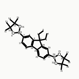 CCC1(CC)c2cc(B3OC(C)(C)C(C)(C)O3)ccc2-c2ccc(B3OC(C)(C)C(C)(C)O3)cc21